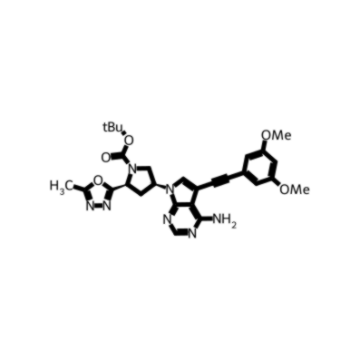 COc1cc(C#Cc2cn([C@H]3C[C@@H](c4nnc(C)o4)N(C(=O)OC(C)(C)C)C3)c3ncnc(N)c23)cc(OC)c1